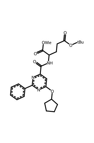 COC(=O)C(CCC(=O)OC(C)(C)C)NC(=O)c1cc(OC2CCCC2)nc(-c2ccccc2)n1